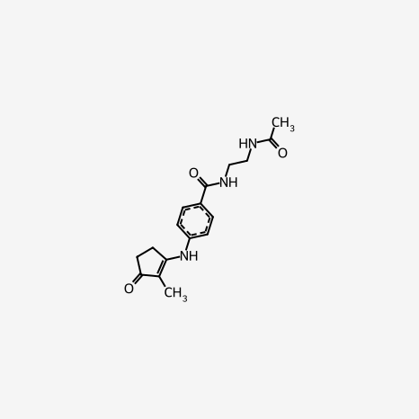 CC(=O)NCCNC(=O)c1ccc(NC2=C(C)C(=O)CC2)cc1